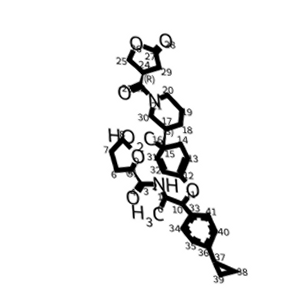 CC(NC(=O)[C@H]1CCCO1)C(OC1=CCC(C(=O)O)([C@@H]2CCCN(C(=O)[C@H]3COC(=O)C3)C2)C=C1)c1ccc(C2CC2)cc1